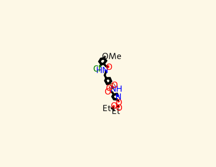 CCC(CC)OC(=O)Oc1ccc(C(=O)NS(=O)(=O)c2ccc(CCNC(=O)c3cc(OC)ccc3Cl)cc2)cn1